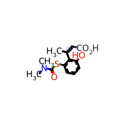 C/C(=C/C(=O)O)c1c(O)cccc1SC(=O)N(C)C